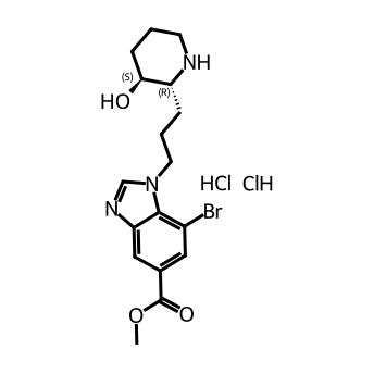 COC(=O)c1cc(Br)c2c(c1)ncn2CCC[C@H]1NCCC[C@@H]1O.Cl.Cl